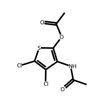 CC(=O)Nc1c(OC(C)=O)sc(Cl)c1Cl